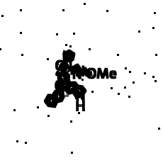 COCCn1cc(N(C(=O)c2cc(-c3cc4c(cc3C(=O)N3Cc5ccccc5C[C@H]3C)CNCC4)n(C)c2C)c2ccccc2)cn1